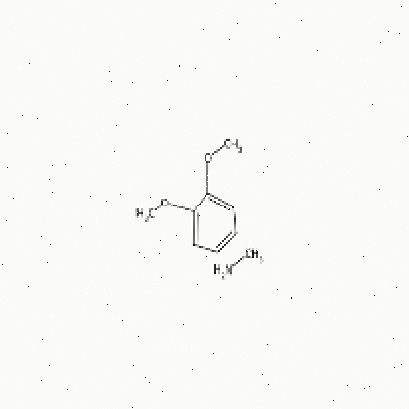 CN.COc1ccccc1OC